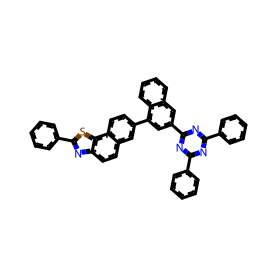 c1ccc(-c2nc(-c3ccccc3)nc(-c3cc(-c4ccc5c(ccc6nc(-c7ccccc7)sc65)c4)c4ccccc4c3)n2)cc1